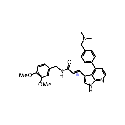 COc1ccc(CNC(=O)/C=C/c2c[nH]c3nccc(-c4ccc(CN(C)C)cc4)c23)cc1OC